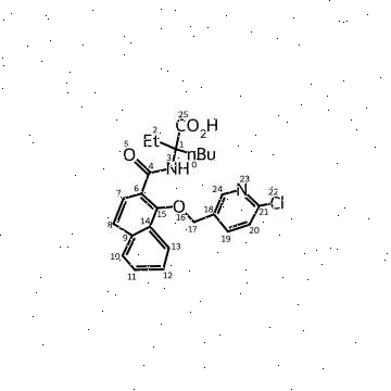 CCCCC(CC)(NC(=O)c1ccc2ccccc2c1OCc1ccc(Cl)nc1)C(=O)O